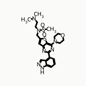 CN(C)CCN(Cc1cc2nc(-c3cccc4[nH]ncc34)nc(N3CCOCC3)c2s1)S(C)(=O)=O